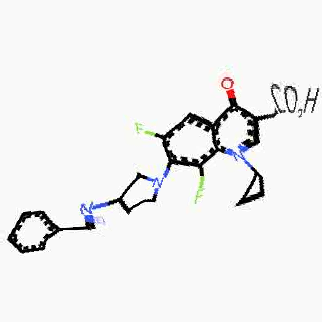 O=C(O)c1cn(C2CC2)c2c(F)c(N3CCC(/N=C/c4ccccc4)C3)c(F)cc2c1=O